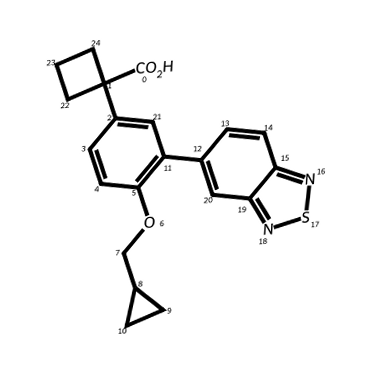 O=C(O)C1(c2ccc(OCC3CC3)c(-c3ccc4nsnc4c3)c2)CCC1